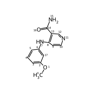 COc1cccc(Nc2ccncc2C(N)=O)c1